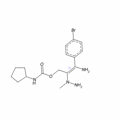 CN(N)/C(COC(=O)NC1CCCC1)=C(\N)c1ccc(Br)cc1